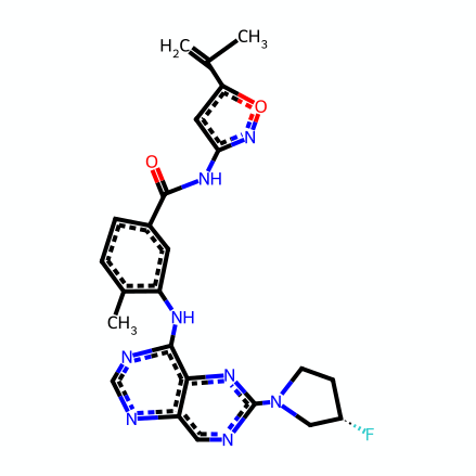 C=C(C)c1cc(NC(=O)c2ccc(C)c(Nc3ncnc4cnc(N5CC[C@H](F)C5)nc34)c2)no1